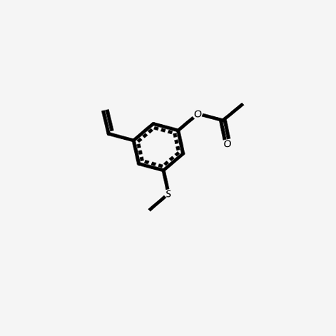 C=Cc1cc(OC(C)=O)cc(SC)c1